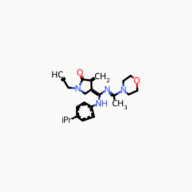 C#CCN1C/C(=C(/N=C(\C)N2CCOCC2)Nc2ccc(C(C)C)cc2)C(=C)C1=O